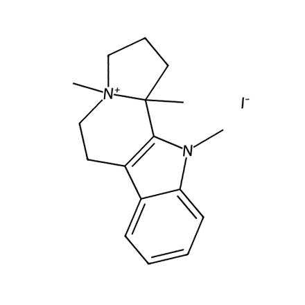 Cn1c2c(c3ccccc31)CC[N+]1(C)CCCC21C.[I-]